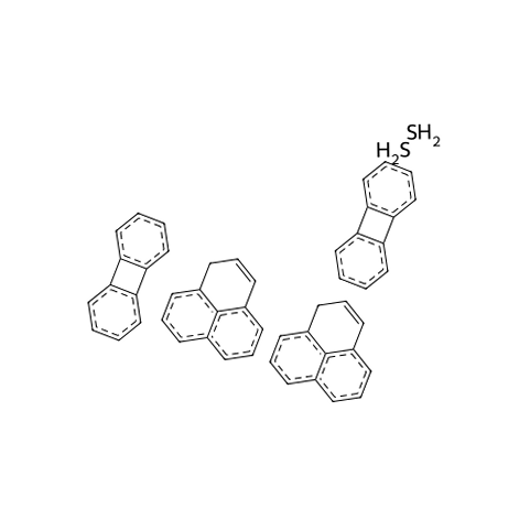 C1=Cc2cccc3cccc(c23)C1.C1=Cc2cccc3cccc(c23)C1.S.S.c1ccc2c(c1)-c1ccccc1-2.c1ccc2c(c1)-c1ccccc1-2